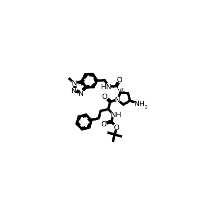 Cn1nnc2cc(CNC(=O)[C@@H]3CC(N)CN3C(=O)C(CCc3ccccc3)NC(=O)OC(C)(C)C)ccc21